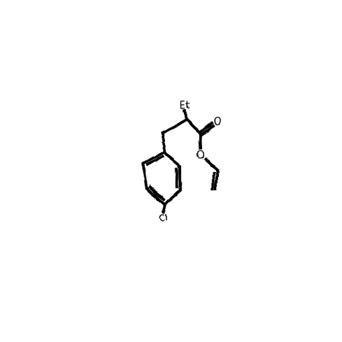 C=COC(=O)C(CC)Cc1ccc(Cl)cc1